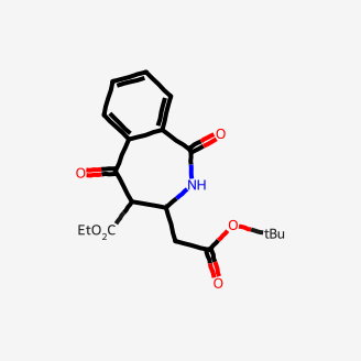 CCOC(=O)C1[C](CC(=O)OC(C)(C)C)NC(=O)c2ccccc2C1=O